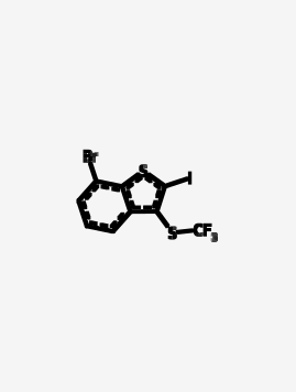 FC(F)(F)Sc1c(I)sc2c(Br)cccc12